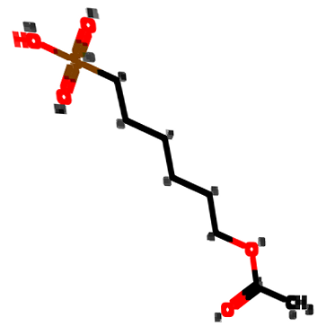 CC(=O)OCCCCCCS(=O)(=O)O